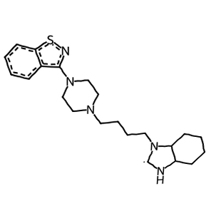 [CH]1NC2CCCCC2N1CCCCN1CCN(c2nsc3ccccc23)CC1